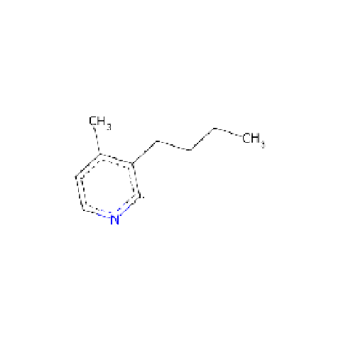 CCCCc1[c]nccc1C